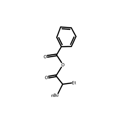 CCCCC(CC)C(=O)OC(=O)c1ccccc1